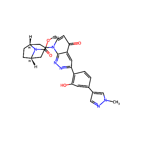 Cn1cc(-c2ccc(-c3cc4c(=O)ccn(C5C[C@H]6CC[C@@H](C5)N6C(=O)OC(C)(C)C)c4nn3)c(O)c2)cn1